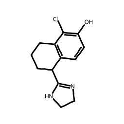 Oc1ccc2c(c1Cl)CCCC2C1=NCCN1